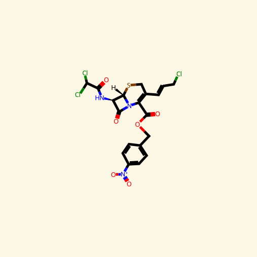 O=C(OCc1ccc([N+](=O)[O-])cc1)C1=C(/C=C/CCl)CS[C@H]2[C@H](NC(=O)C(Cl)Cl)C(=O)N12